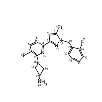 CCc1cc(-c2ncc(F)c(N3CC(N)C3)n2)nn1Cc1ccccc1F